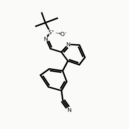 CC(C)(C)[S@+]([O-])/N=C\c1ncccc1-c1cccc(C#N)c1